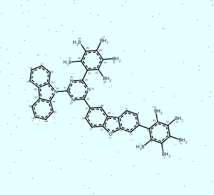 Bc1c(B)c(B)c(-c2ccc3c(c2)oc2ccc(-c4nc(-c5c(B)c(B)c(B)c(B)c5B)nc(-n5c6ccccc6c6ccccc65)n4)cc23)c(B)c1B